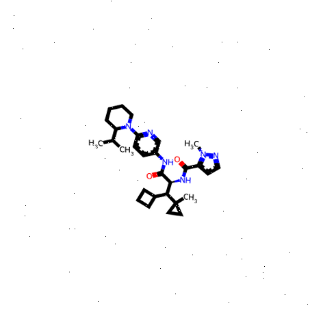 CC(C)C1CCCCN1c1ccc(NC(=O)[C@@H](NC(=O)c2ccnn2C)C(C2CCC2)C2(C)CC2)cn1